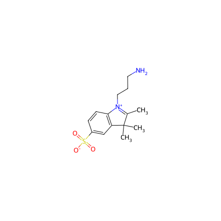 CC1=[N+](CCCN)c2ccc(S(=O)(=O)[O-])cc2C1(C)C